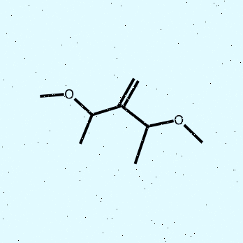 C=C(C(C)OC)C(C)OC